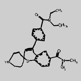 CCN(CC)C(=O)c1ccc(C2=CC3(CCNCC3)Oc3ccc(C(=O)N(C)C)cc32)cc1